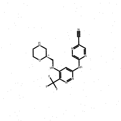 N#Cc1cnc(Nc2cc(NC[C@@H]3CNCCO3)c(C(F)(F)F)nn2)cn1